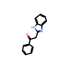 O=C(Cc1nc2ccccc2[nH]1)c1ccccc1